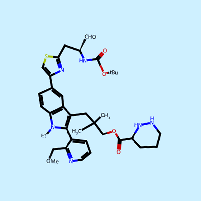 CCn1c(-c2cccnc2COC)c(CC(C)(C)COC(=O)C2CCCNN2)c2cc(-c3csc(C[C@@H](C=O)NC(=O)OC(C)(C)C)n3)ccc21